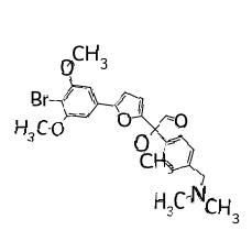 COc1cc(-c2ccc(C(C=O)(OC)c3ccc(CN(C)C)cc3)o2)cc(OC)c1Br